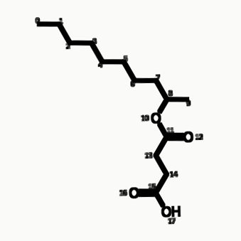 CCCCCCCCC(C)OC(=O)CCC(=O)O